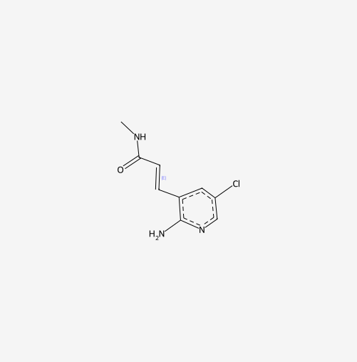 CNC(=O)/C=C/c1cc(Cl)cnc1N